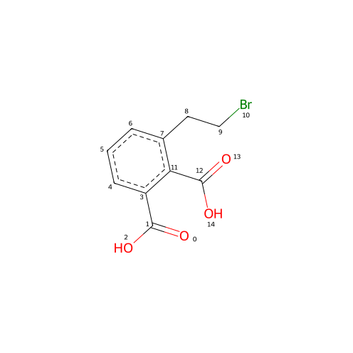 O=C(O)c1cccc(CCBr)c1C(=O)O